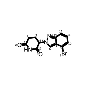 O=C1CCC(n2cc3c(Br)cccc3n2)C(=O)N1